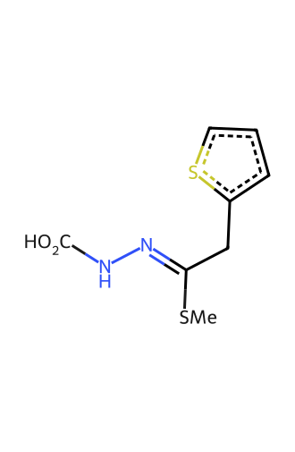 CSC(Cc1cccs1)=NNC(=O)O